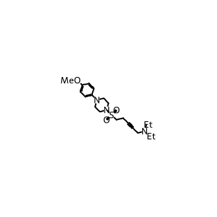 CCN(CC)CC#CCCS(=O)(=O)N1CCN(c2ccc(OC)cc2)CC1